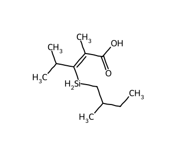 CCC(C)C[SiH2]C(=C(C)C(=O)O)C(C)C